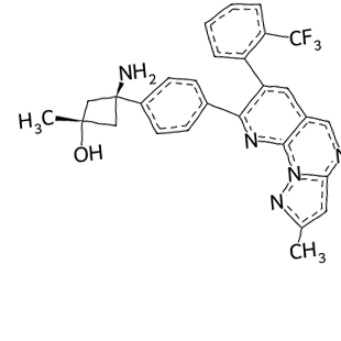 Cc1cc2ncc3cc(-c4ccccc4C(F)(F)F)c(-c4ccc([C@]5(N)C[C@](C)(O)C5)cc4)nc3n2n1